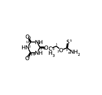 CCOC(N)=S.O=c1[nH]c(=O)[nH]c(=O)[nH]1